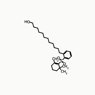 CC1=C(S(=O)(=O)c2ccccc2CCCCCCCCCCCCO)C(C)(C)CCC1